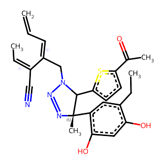 C=C/C=C(CN1N=N[C@@](C)(c2cc(CC)c(O)cc2O)C1c1ccc(C(C)=O)s1)\C(C#N)=C/C